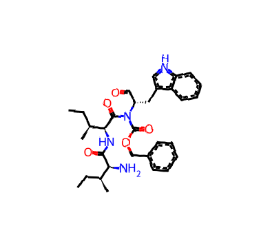 CC[C@H](C)[C@H](N)C(=O)N[C@H](C(=O)N(C(=O)OCc1ccccc1)[C@H](C=O)Cc1c[nH]c2ccccc12)[C@@H](C)CC